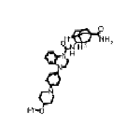 CC(C)OC1CCN(c2ccc(N3CCN(C(=O)NC4[C@@H]5CC6C[C@H]4CC(C(N)=O)(C6)C5)c4ccccc43)cc2)CC1